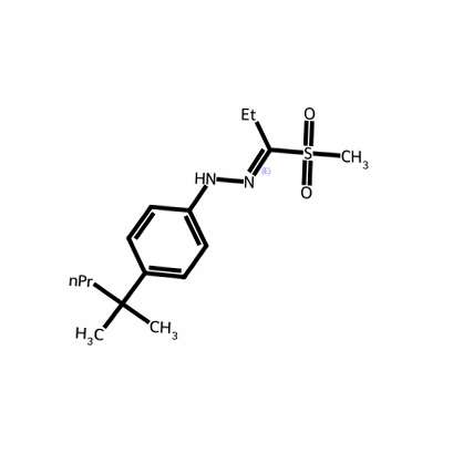 CCCC(C)(C)c1ccc(N/N=C(\CC)S(C)(=O)=O)cc1